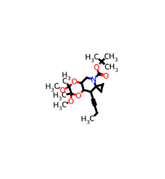 CCC#CC1C2OC(C)(OC)C(C)(OC)OC2CN(C(=O)OC(C)(C)C)C12CC2